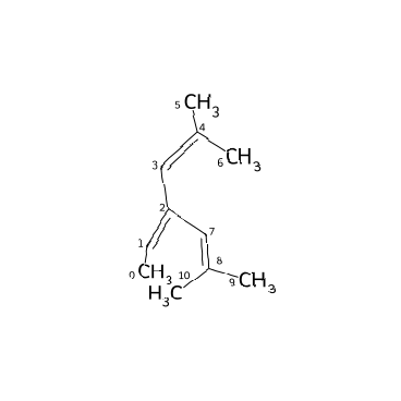 CC=C(C=C(C)C)C=C(C)C